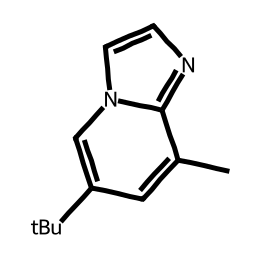 Cc1cc(C(C)(C)C)cn2ccnc12